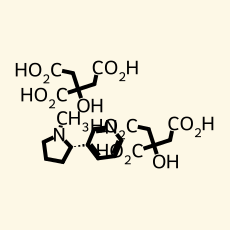 CN1CCC[C@H]1c1cccnc1.O=C(O)CC(O)(CC(=O)O)C(=O)O.O=C(O)CC(O)(CC(=O)O)C(=O)O